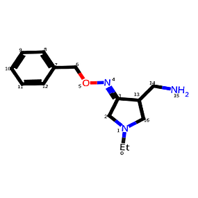 CCN1C/C(=N\OCc2ccccc2)C(CN)C1